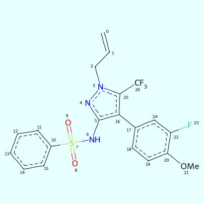 C=CCn1nc(NS(=O)(=O)c2ccccc2)c(-c2ccc(OC)c(F)c2)c1C(F)(F)F